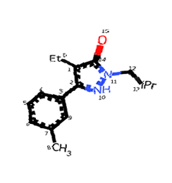 CCc1c(-c2cccc(C)c2)[nH]n(CC(C)C)c1=O